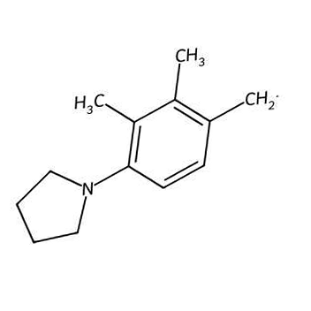 [CH2]c1ccc(N2CCCC2)c(C)c1C